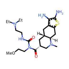 CCN(CC)CCNC(=O)N(CCOC)C(=O)[C@@H]1C[C@@H]2Cc3c(sc(N)c3N)C[C@H]2N(C)C1